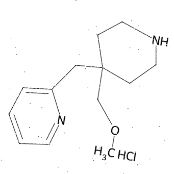 COCC1(Cc2ccccn2)CCNCC1.Cl